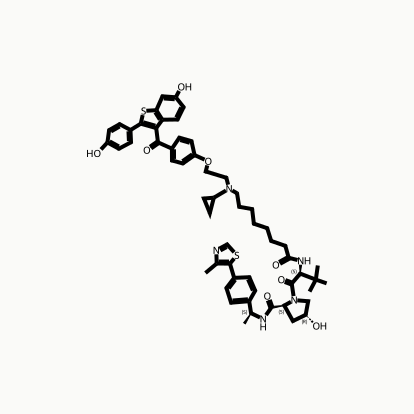 Cc1ncsc1-c1ccc([C@H](C)NC(=O)[C@@H]2C[C@@H](O)CN2C(=O)[C@@H](NC(=O)CCCCCCCN(CCOc2ccc(C(=O)c3c(-c4ccc(O)cc4)sc4cc(O)ccc34)cc2)C2CC2)C(C)(C)C)cc1